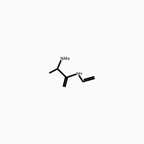 C=CNC(=C)C(C)NC